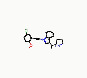 COc1ccc(Cl)cc1C#Cn1cc(C(C)C2CCCN2)c2ccccc21